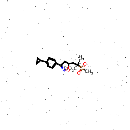 CCOC(=O)[C@@](C)(CC1CC(c2ccc(C3CC3)cc2)=NO1)S(C)(=O)=O